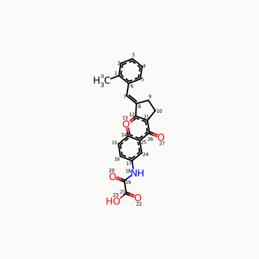 Cc1ccccc1/C=C1\CCc2c1oc1ccc(NC(=O)C(=O)O)cc1c2=O